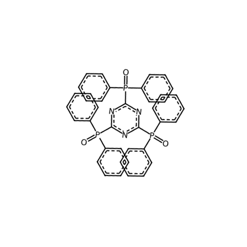 O=P(c1ccccc1)(c1ccccc1)c1nc(P(=O)(c2ccccc2)c2ccccc2)nc(P(=O)(c2ccccc2)c2ccccc2)n1